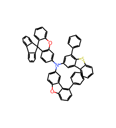 c1ccc(-c2cc(N(c3ccc4c(c3)Oc3ccccc3C43c4ccccc4-c4ccccc43)c3ccc4oc5cccc(-c6ccccc6)c5c4c3)cc3c2sc2ccccc23)cc1